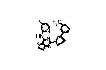 Cc1ccnc(Nc2nc(-c3cccc(-c4cccc(C(F)(F)F)c4)c3)nc3ccsc23)c1